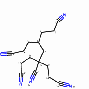 N#CCCC(CCC#N)CC(C#N)(CCC#N)CCC#N